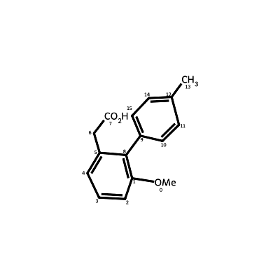 COc1cccc(CC(=O)O)c1-c1ccc(C)cc1